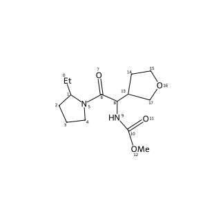 CCC1CCCN1C(=O)C(NC(=O)OC)C1CCOC1